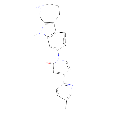 Cc1ccc(-c2ccn(-c3ccc4c5c(n(C)c4c3)CNCCC5)c(=O)c2)nc1